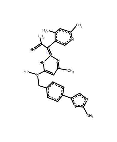 CCCN(Cc1ccc(-c2csc(N)n2)cc1)C1=CC(C)=N/C(=C(/C(C)=N)c2cnc(C)cc2C)N1